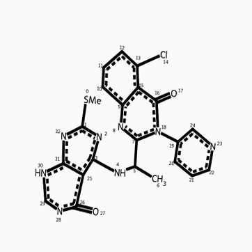 CSc1nc(NC(C)c2nc3cccc(Cl)c3c(=O)n2-c2cccnc2)c2c(=O)nc[nH]c2n1